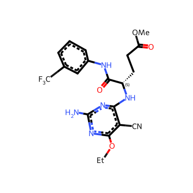 CCOc1nc(N)nc(N[C@@H](CCC(=O)OC)C(=O)Nc2cccc(C(F)(F)F)c2)c1C#N